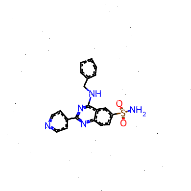 NS(=O)(=O)c1ccc2nc(-c3ccncc3)nc(NCc3ccccc3)c2c1